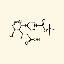 C[C@H](CC(=O)O)c1c(Cl)ncnc1N1CCN(C(=O)OC(C)(C)C)CC1